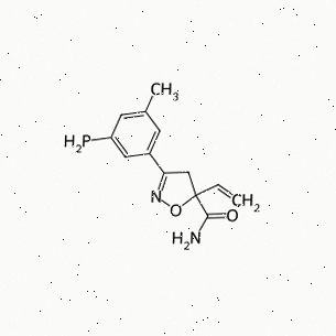 C=CC1(C(N)=O)CC(c2cc(C)cc(P)c2)=NO1